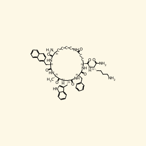 C[C@@H]1NC(=O)[C@@H](Cc2ccc3ccccc3c2)NC(=O)[C@H](N)CCCCNC(=O)CC[C@@H](C(=O)N[C@@H](CCCCN)C(N)=O)NC(=O)[C@@H](Cc2ccccc2)NC(=O)[C@H](Cc2c[nH]c3ccccc23)NC1=O